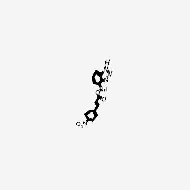 O=C(C=Cc1ccc([N+](=O)[O-])cc1)ONc1cccc2[nH]nnc12